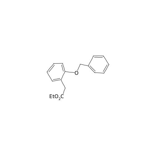 CCOC(=O)Cc1ccccc1OCc1ccccc1